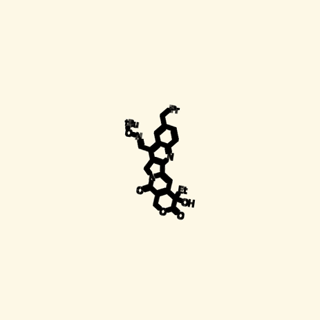 CCC1(O)C(=O)OCc2c1cc1n(c2=O)Cc2c-1nc1ccc(CC(C)C)cc1c2/C=N/OC(C)(C)C